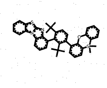 CC(C)(C)c1ccc(-c2cccc3c2Oc2ccccc2[Si]3(C)C)c(C(C)(C)C)c1-c1cccc2c1nc1sc3ccccc3n12